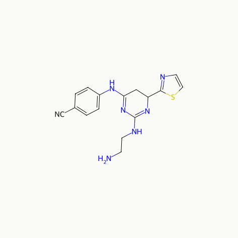 N#Cc1ccc(NC2=NC(NCCN)=NC(c3nccs3)C2)cc1